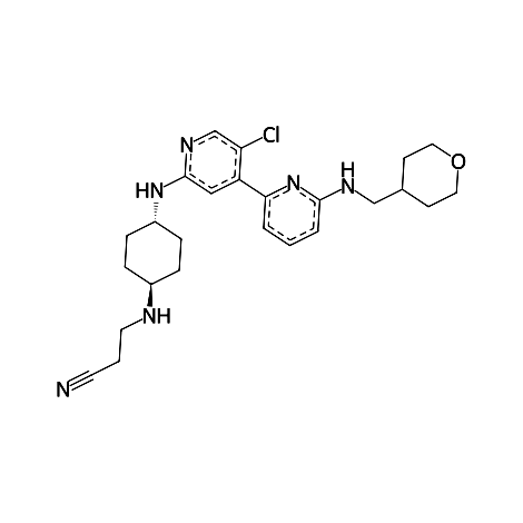 N#CCCN[C@H]1CC[C@H](Nc2cc(-c3cccc(NCC4CCOCC4)n3)c(Cl)cn2)CC1